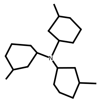 CC1CCCC(N(C2CCCC(C)C2)C2CCCC(C)C2)C1